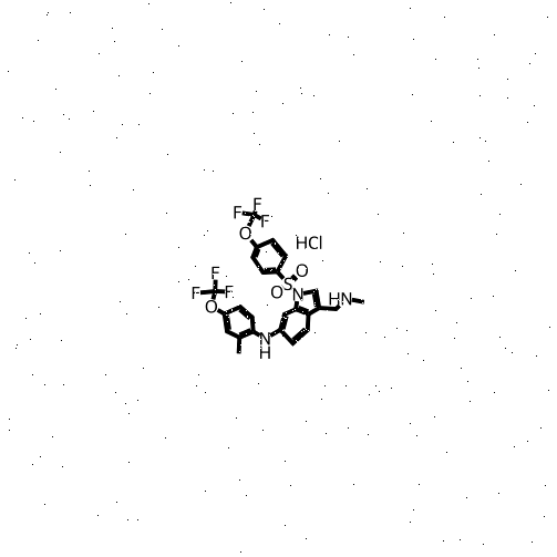 CNCc1cn(S(=O)(=O)c2ccc(OC(F)(F)F)cc2)c2cc(Nc3ccc(OC(F)(F)F)cc3C)ccc12.Cl